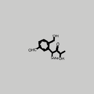 CSC(C(=O)C(C)O)c1cc(C=O)ccc1CO